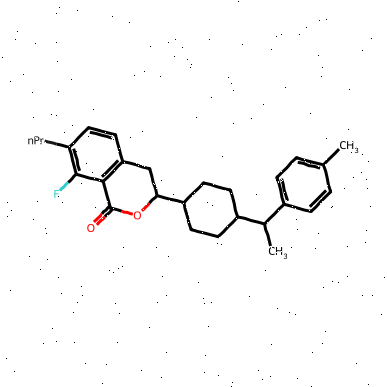 CCCc1ccc2c(c1F)C(=O)OC(C1CCC(C(C)c3ccc(C)cc3)CC1)C2